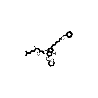 CC(C)=CCC[C@@H](C)CC(=O)C=C[C@@H]1[C@@H]2CC(CCCCCOCc3ccccc3)=C[C@@H]2C[C@H]1OC1CCCCO1